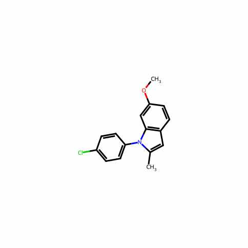 COc1ccc2cc(C)n(-c3ccc(Cl)cc3)c2c1